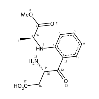 COC(=O)[C@H](C)Nc1ccccc1C(=O)[C@@H](N)CC(=O)O